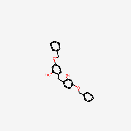 Oc1cc(OCc2ccccc2)ccc1Cc1ccc(OCc2ccccc2)cc1O